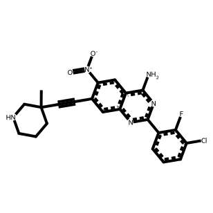 CC1(C#Cc2cc3nc(-c4cccc(Cl)c4F)nc(N)c3cc2[N+](=O)[O-])CCCNC1